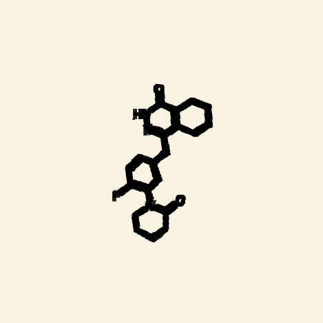 O=C1CCCCN1c1cc(Cc2n[nH]c(=O)c3c2CCCC3)ccc1F